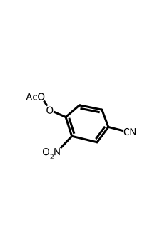 CC(=O)OOc1ccc(C#N)cc1[N+](=O)[O-]